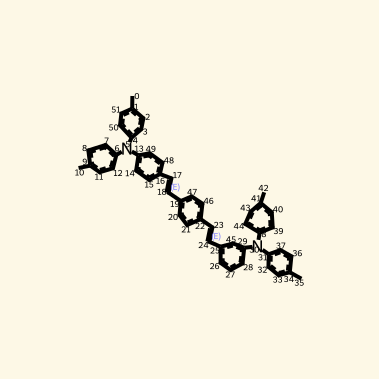 Cc1ccc(N(c2ccc(C)cc2)c2ccc(/C=C/c3ccc(/C=C/c4cccc(N(c5ccc(C)cc5)c5ccc(C)cc5)c4)cc3)cc2)cc1